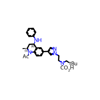 CC(=O)N1c2ccc(-c3cnn(CCN(CC(C)(C)C)C(=O)O)c3)cc2[C@H](Nc2ccccc2)C[C@@H]1C